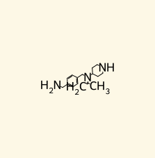 C=C(C)N(Cc1ccc(CN)cc1)C1CCNCC1